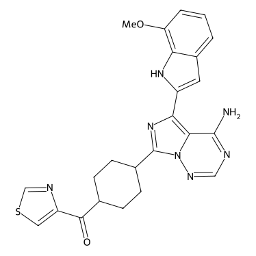 COc1cccc2cc(-c3nc(C4CCC(C(=O)c5cscn5)CC4)n4ncnc(N)c34)[nH]c12